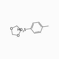 C1COCO1.Cc1ccc(S(=O)(=O)O)cc1